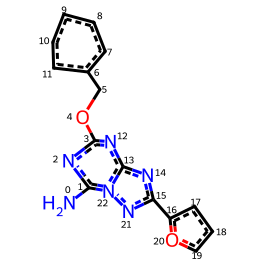 Nc1nc(OCc2ccccc2)nc2nc(-c3ccco3)nn12